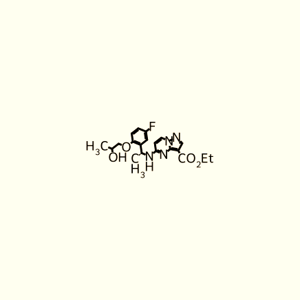 CCOC(=O)c1cnn2ccc(N[C@H](C)c3cc(F)ccc3OCC(C)O)nc12